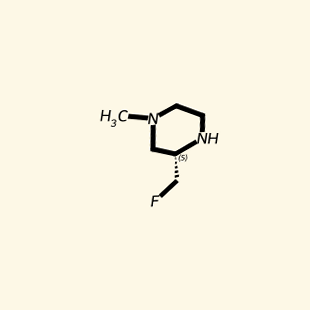 CN1CCN[C@H](CF)C1